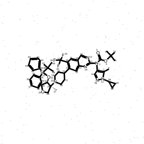 Cc1c(N(C(=O)OC(C)(C)C)c2ncc3cc(C(F)(F)F)c(C4CCN([C@@]5(C)COC[C@H]5O[Si](c5ccccc5)(c5ccccc5)C(C)(C)C)CC4)cc3n2)cnn1C1CC1